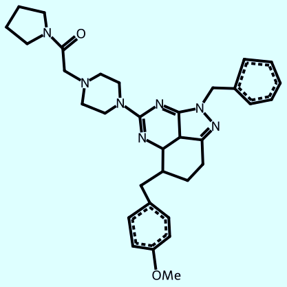 COc1ccc(CC2CCC3=NN(Cc4ccccc4)C4=NC(N5CCN(CC(=O)N6CCCC6)CC5)=NC2C34)cc1